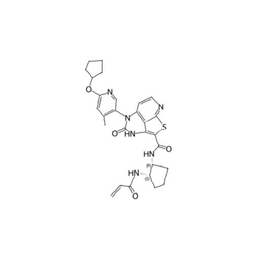 C=CC(=O)N[C@H]1CCC[C@H]1NC(=O)c1sc2nccc3c2c1NC(=O)N3c1cnc(OC2CCCC2)cc1C